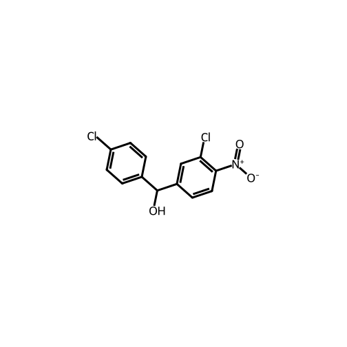 O=[N+]([O-])c1ccc(C(O)c2ccc(Cl)cc2)cc1Cl